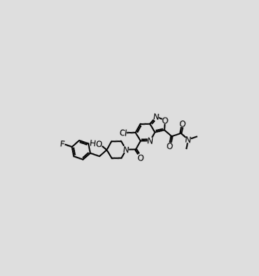 CN(C)C(=O)C(=O)c1onc2cc(Cl)c(C(=O)N3CCC(O)(Cc4ccc(F)cc4)CC3)nc12